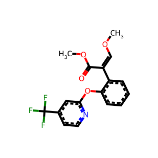 COC=C(C(=O)OC)c1ccccc1Oc1cc(C(F)(F)F)ccn1